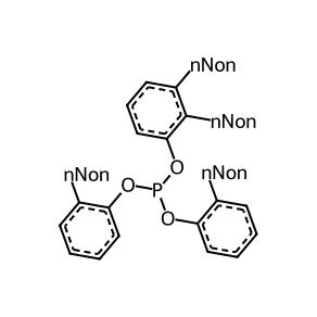 CCCCCCCCCc1ccccc1OP(Oc1ccccc1CCCCCCCCC)Oc1cccc(CCCCCCCCC)c1CCCCCCCCC